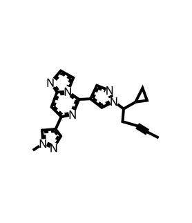 CC#CCC(C1CC1)n1cc(-c2nc(-c3cnn(C)c3)cc3nccn23)cn1